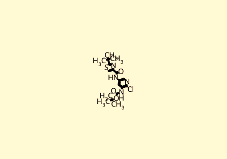 CC(C)(C)OC(=O)Nc1cc(NC(=O)c2csc(C(C)(C)C)n2)cnc1Cl